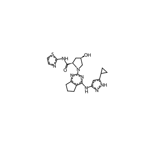 O=C(Nc1nccs1)[C@H]1C[C@@H](O)CN1c1nc2c(c(Nc3cc(C4CC4)[nH]n3)n1)CCC2